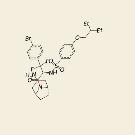 CCC(CC)COc1ccc(S(=O)(=O)N[C@@H](C(=O)N2C3CCC2CC(N)C3)C(F)(F)c2ccc(Br)cc2)cc1